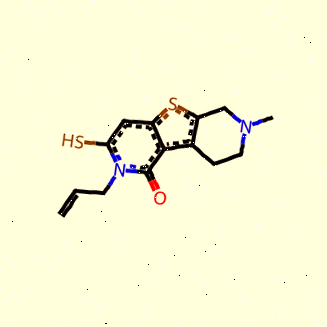 C=CCn1c(S)cc2sc3c(c2c1=O)CCN(C)C3